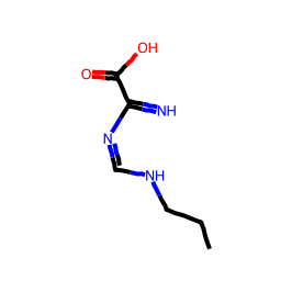 CCCN/C=N\C(=N)C(=O)O